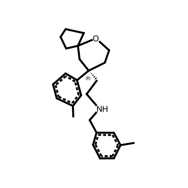 Cc1cccc(CNCC[C@@]2(c3cccc(C)c3)CCOC3(CCCC3)C2)c1